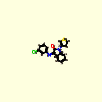 O=C1/C(=N\c2cccc(Cl)c2)c2ccccc2N1C1=CSCC1